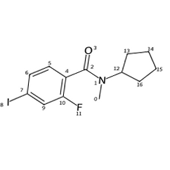 CN(C(=O)c1ccc(I)cc1F)C1CCCC1